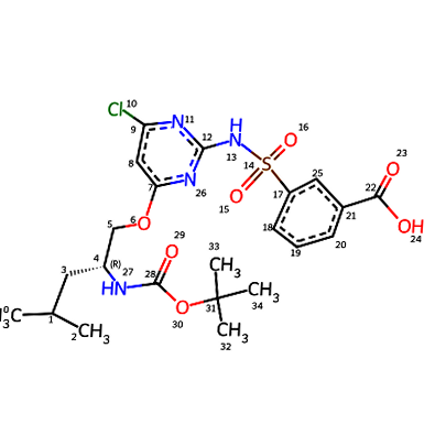 CC(C)C[C@H](COc1cc(Cl)nc(NS(=O)(=O)c2cccc(C(=O)O)c2)n1)NC(=O)OC(C)(C)C